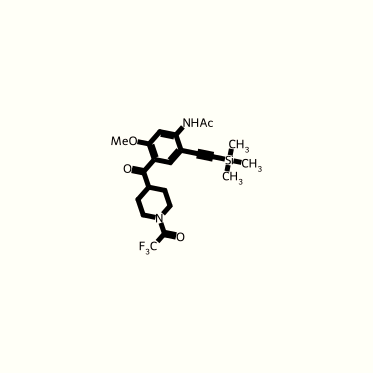 COc1cc(NC(C)=O)c(C#C[Si](C)(C)C)cc1C(=O)C1CCN(C(=O)C(F)(F)F)CC1